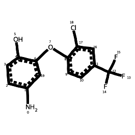 Nc1ccc(O)c(Oc2ccc(C(F)(F)F)cc2Cl)c1